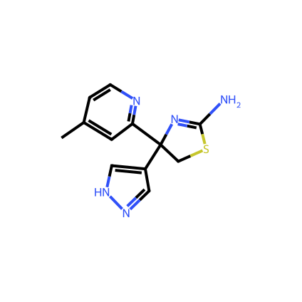 Cc1ccnc(C2(c3cn[nH]c3)CSC(N)=N2)c1